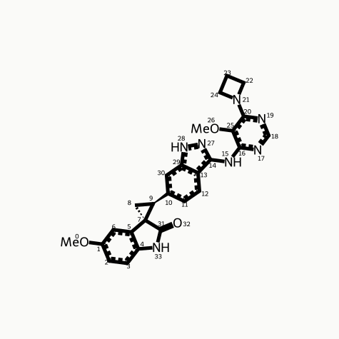 COc1ccc2c(c1)[C@]1(C[C@H]1c1ccc3c(Nc4ncnc(N5CCC5)c4OC)n[nH]c3c1)C(=O)N2